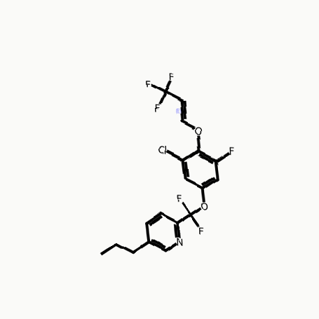 CCCc1ccc(C(F)(F)Oc2cc(F)c(O/C=C/C(F)(F)F)c(Cl)c2)nc1